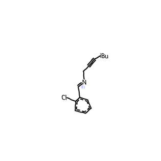 CCC(C)C#CC/N=C/c1ccccc1Cl